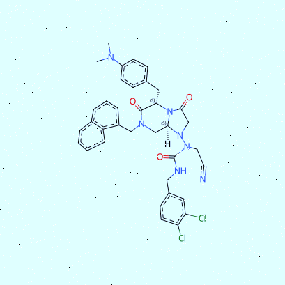 CN(C)c1ccc(C[C@H]2C(=O)N(Cc3cccc4ccccc34)C[C@H]3N2C(=O)CN3N(CC#N)C(=O)NCc2ccc(Cl)c(Cl)c2)cc1